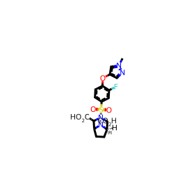 Cn1cc(Oc2ccc(S(=O)(=O)N3C[C@H]4CCC(C3C(=O)O)N4C(=O)O)cc2F)cn1